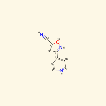 N#CC1CC(c2ccncc2)=NO1